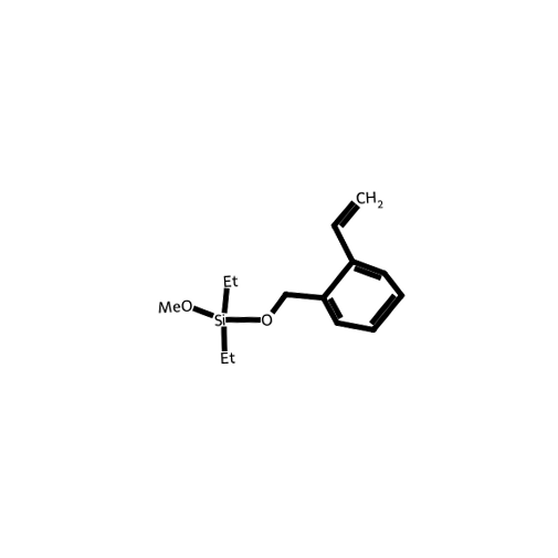 C=Cc1ccccc1CO[Si](CC)(CC)OC